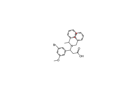 COc1cc(Br)cc(C(CC(=O)O)N(Cc2ccccc2)C(C)c2ccccc2)c1